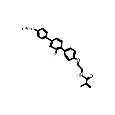 C=C(C)C(=O)NCCOc1ccc(-c2ccc(-c3ccc(CCCCC)cc3)cc2F)cc1